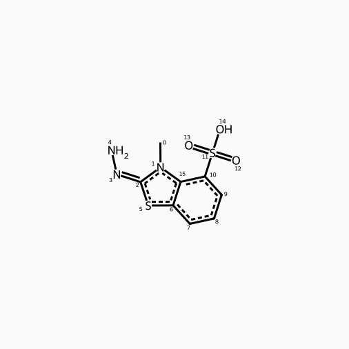 Cn1c(=NN)sc2cccc(S(=O)(=O)O)c21